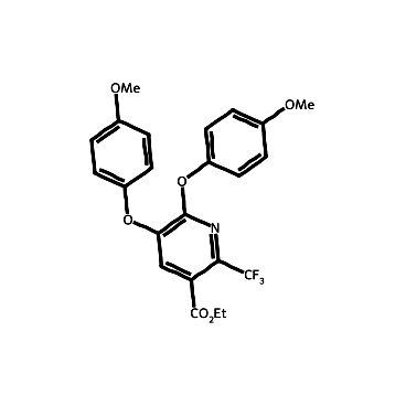 CCOC(=O)c1cc(Oc2ccc(OC)cc2)c(Oc2ccc(OC)cc2)nc1C(F)(F)F